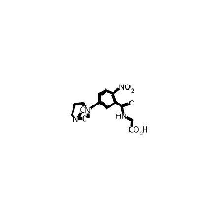 O=C(O)CNC(=O)c1cc(N2CCN3CCC2CC3)ccc1[N+](=O)[O-]